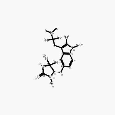 [2H]c1c(CC([2H])([2H])N(C)C)c2cc(C[C@@H]3N([2H])C(=O)OC3([2H])[2H])ccc2n1[2H]